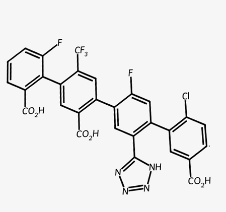 O=C(O)c1[c]cc(Cl)c(-c2cc(F)c(-c3cc(C(F)(F)F)c(-c4c(F)cccc4C(=O)O)cc3C(=O)O)cc2-c2nnn[nH]2)c1